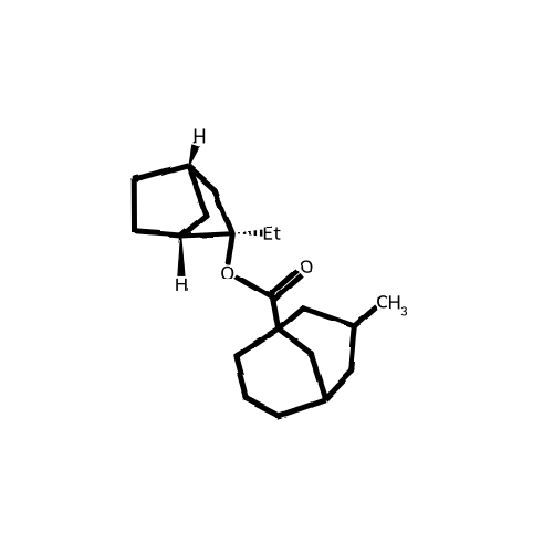 CC[C@@]1(OC(=O)C23CCCC(CC(C)C2)C3)C[C@H]2CC[C@@H]1C2